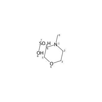 CN1CCOCC1.O=S(=O)(O)O